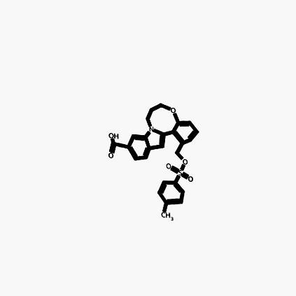 Cc1ccc(S(=O)(=O)OCc2cccc3c2-c2cc4ccc(C(=O)O)cc4n2CCCO3)cc1